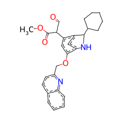 COC(=O)C(C=O)c1cc(OCc2ccc3ccccc3n2)c2cc1C(C1CCCCC1)N2